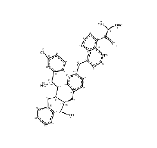 CC(=O)ON(C(=O)c1cccc2c(Oc3ccc(C[C@@H](CO)N(Cc4ccccc4)C[C@H](O)c4cccc(Cl)c4)cc3)ccnc12)C(C)(C)C